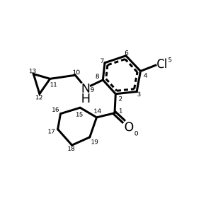 O=C(c1cc(Cl)ccc1NCC1CC1)C1CCCCC1